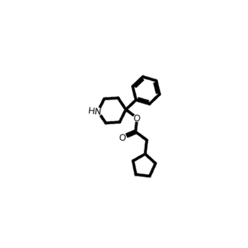 O=C(CC1CCCC1)OC1(c2ccccc2)CCNCC1